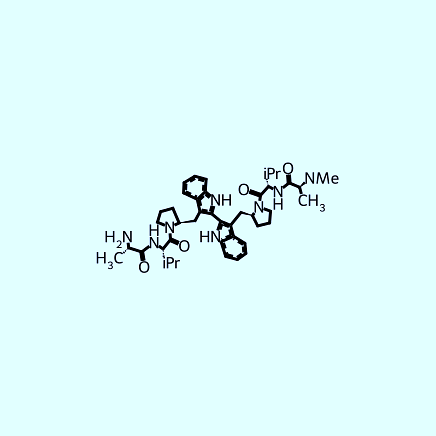 CN[C@@H](C)C(=O)N[C@H](C(=O)N1CCC[C@H]1Cc1c(-c2[nH]c3ccccc3c2C[C@@H]2CCCN2C(=O)[C@@H](NC(=O)[C@H](C)N)C(C)C)[nH]c2ccccc12)C(C)C